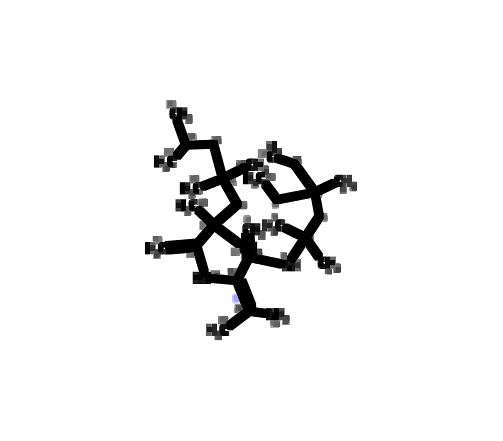 C=C(NC(C)(C)CC(C)(CC)CC)/C(NC(=C)C(C)(C)CC(C)(C)CC(C)C)=C(/C)N